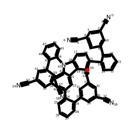 N#Cc1cc(C#N)cc(-c2ccccc2-c2ccc3c(c2)c2cc(-c4ccccc4-c4cc(C#N)cc(C#N)c4)ccc2n3-c2ccccc2-c2cc(C#N)cc(C#N)c2)c1